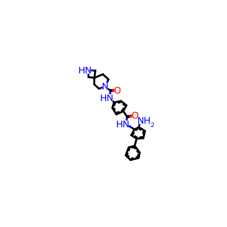 Nc1ccc(-c2ccccc2)cc1NC(=O)c1ccc(NC(=O)N2CCC3(CC2)CNC3)cc1